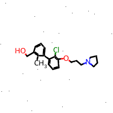 Cc1c(CO)cccc1-c1cccc(OCCCN2CCCC2)c1Cl